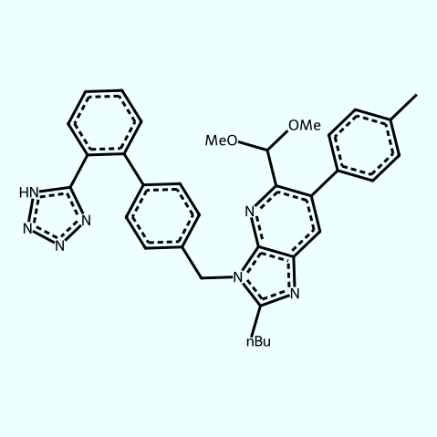 CCCCc1nc2cc(-c3ccc(C)cc3)c(C(OC)OC)nc2n1Cc1ccc(-c2ccccc2-c2nnn[nH]2)cc1